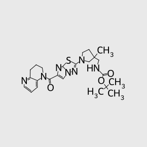 CC1(CNC(=O)OC(C)(C)C)CCN(c2nn3cc(C(=O)N4CCCc5ncccc54)nc3s2)C1